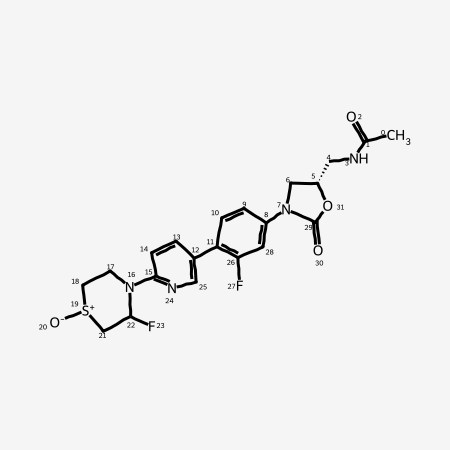 CC(=O)NC[C@H]1CN(c2ccc(-c3ccc(N4CC[S+]([O-])CC4F)nc3)c(F)c2)C(=O)O1